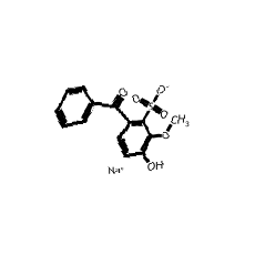 COc1c(O)ccc(C(=O)c2ccccc2)c1S(=O)(=O)[O-].[Na+]